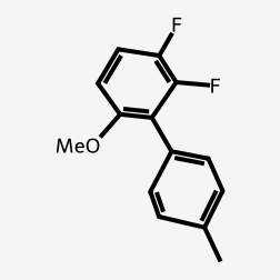 COc1ccc(F)c(F)c1-c1ccc(C)cc1